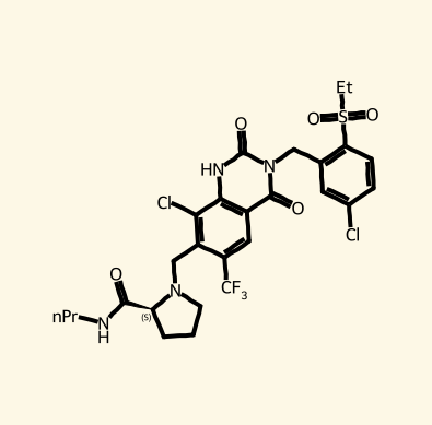 CCCNC(=O)[C@@H]1CCCN1Cc1c(C(F)(F)F)cc2c(=O)n(Cc3cc(Cl)ccc3S(=O)(=O)CC)c(=O)[nH]c2c1Cl